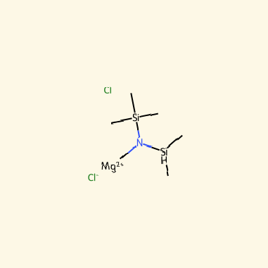 CN([SiH](C)C)[Si](C)(C)C.[Cl-].[Cl-].[Mg+2]